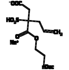 C=CCC(CC(=O)[O-])(C(=O)OCCCCCCCCCCCC)S(=O)(=O)O.[Na+]